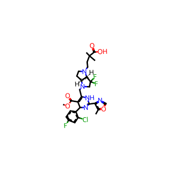 COC(=O)C1=C(CN2CC(F)(F)[C@H]3[C@@H]2CCN3CCC(C)(C)C(=O)O)NC(c2ncoc2C)=NC1c1ccc(F)cc1Cl